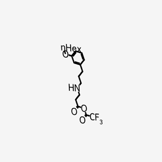 CCCCCCOc1cccc(CCCNCCC(=O)OC(=O)C(F)(F)F)c1